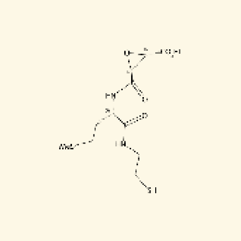 CCOC(=O)[C@H]1O[C@@H]1C(=O)N[C@@H](CCSC)C(=O)NCCS